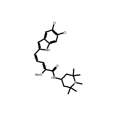 CO/C(=C\C=C/c1cc2cc(Cl)c(Cl)cc2[nH]1)C(=O)NC1CC(C)(C)N(C)C(C)(C)C1